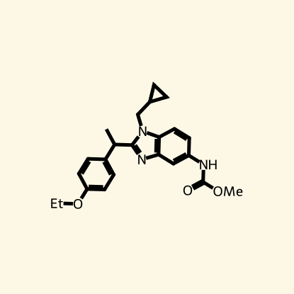 CCOc1ccc(C(C)c2nc3cc(NC(=O)OC)ccc3n2CC2CC2)cc1